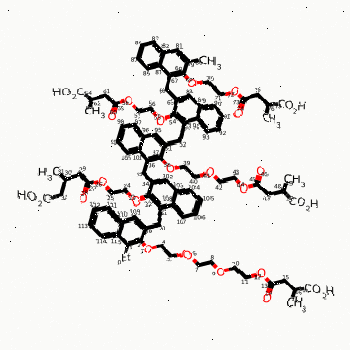 CCc1c(OCCOCCOCCOC(=O)CC(C)C(=O)O)c(Cc2c(OCCOC(=O)CC(C)CC(=O)O)c(Cc3c(OCCOCCOC(=O)CC(C)C(=O)O)c(Cc4c(OCCOC(=O)CC(C)C(=O)O)c(Cc5c(OCCOC(=O)CC(C)C(=O)O)c(C)cc6ccccc56)cc5ccccc45)cc4ccccc34)cc3ccccc23)cc2ccccc12